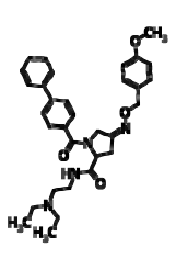 CCN(CC)CCNC(=O)C1CC(=NOCc2ccc(OC)cc2)CN1C(=O)c1ccc(-c2ccccc2)cc1